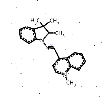 CC1N(/N=C/c2cc[n+](C)c3ccccc23)c2ccccc2C1(C)C